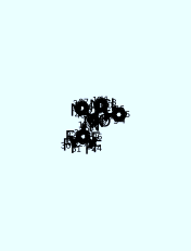 O=C(c1ccccc1Cl)c1cccnc1-c1nnn(Cc2cc(C(F)(F)F)cc(C(F)(F)F)c2)c1-c1cccnc1